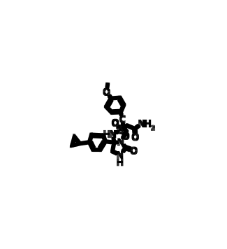 COc1ccc(CCCN2C(=O)NCC2(NS(=O)(=O)CC(N)=O)c2ccc(C3CC3)cc2)cc1